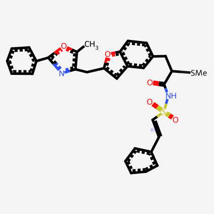 CSC(Cc1ccc2oc(Cc3nc(-c4ccccc4)oc3C)cc2c1)C(=O)NS(=O)(=O)/C=C/c1ccccc1